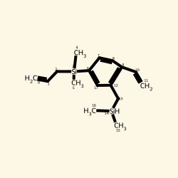 C=CC[Si](C)(C)c1ccc(C=C)c(C[SiH](C)C)c1